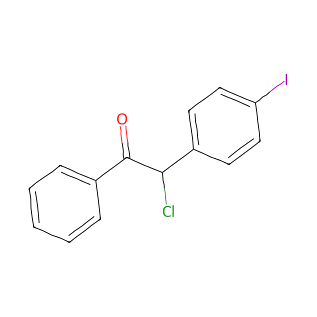 O=C(c1ccccc1)C(Cl)c1ccc(I)cc1